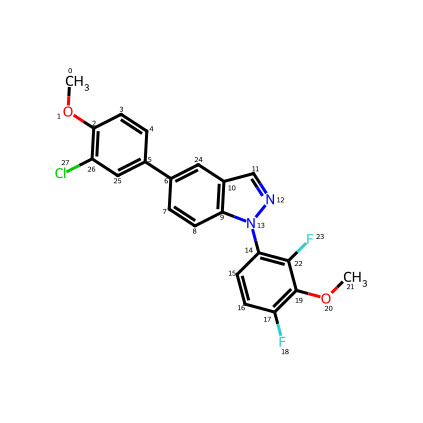 COc1ccc(-c2ccc3c(cnn3-c3ccc(F)c(OC)c3F)c2)cc1Cl